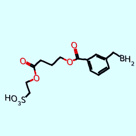 BCc1cccc(C(=O)OCCCC(=O)OCCS(=O)(=O)O)c1